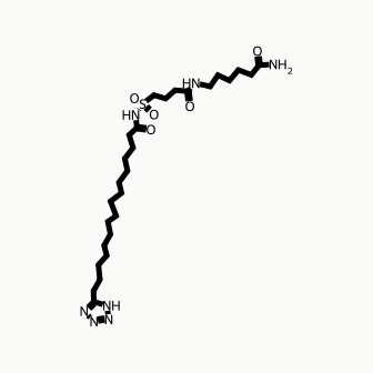 NC(=O)CCCCCNC(=O)CCCS(=O)(=O)NC(=O)CCCCCCCCCCCCCCCc1nnn[nH]1